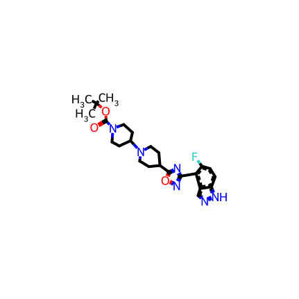 CC(C)(C)OC(=O)N1CCC(N2CCC(c3nc(-c4c(F)ccc5[nH]ncc45)no3)CC2)CC1